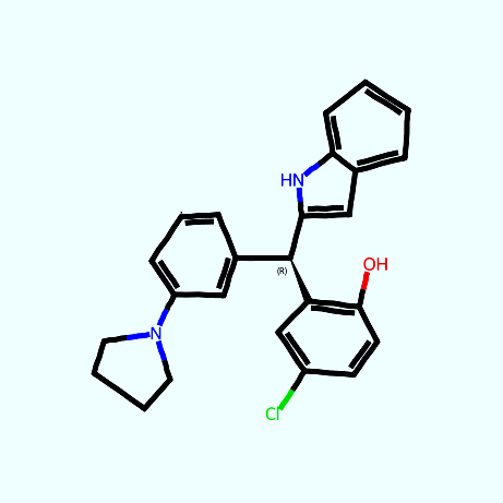 Oc1ccc(Cl)cc1[C@@H](c1c[c]cc(N2CCCC2)c1)c1cc2ccccc2[nH]1